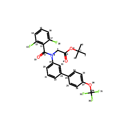 CC(C)(C)OC(=O)CN(C(=O)c1c(F)cccc1F)c1cccc(-c2ccc(OC(F)(F)F)cc2)c1